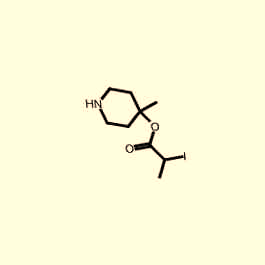 CC(I)C(=O)OC1(C)CCNCC1